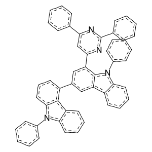 c1ccc(-c2cc(-c3cc(-c4cccc5c4c4ccccc4n5-c4ccccc4)cc4c5ccccc5n(-c5ccccc5)c34)nc(-c3ccccc3)n2)cc1